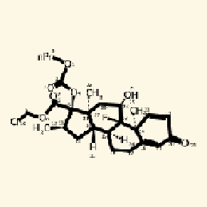 CCCOC(=O)O[C@]1(C(=O)OCCl)[C@H](C)C[C@H]2[C@@H]3CCC4=CC(=O)C=C[C@]4(C)[C@@]3(F)[C@@H](O)C[C@@]21C